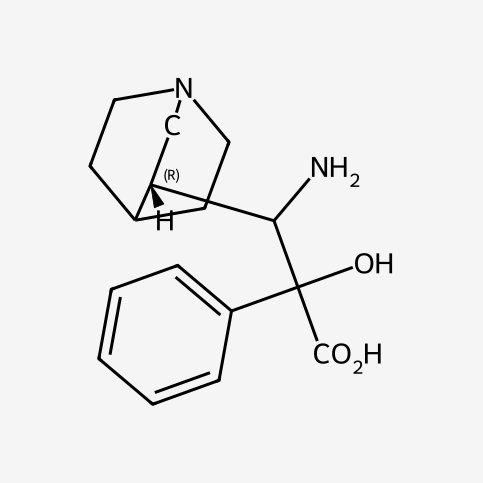 NC([C@H]1CN2CCC1CC2)C(O)(C(=O)O)c1ccccc1